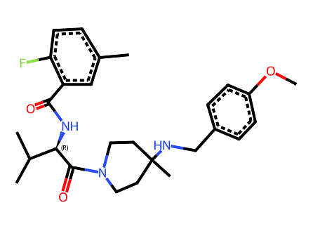 COc1ccc(CNC2(C)CCN(C(=O)[C@H](NC(=O)c3cc(C)ccc3F)C(C)C)CC2)cc1